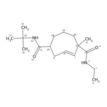 CCNC(=O)C1(C)/C=C/CC(C(=O)NC(C)(C)C)CCC1